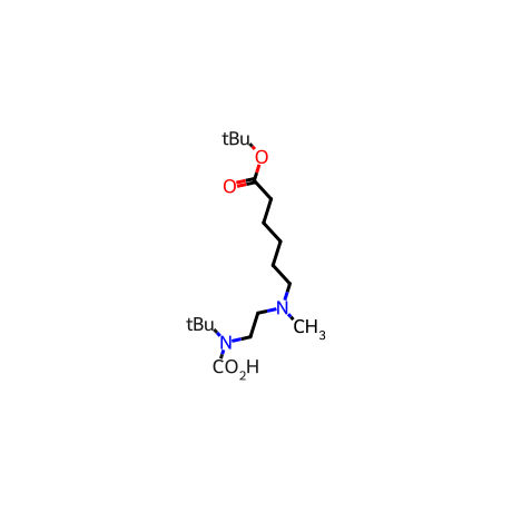 CN(CCCCCC(=O)OC(C)(C)C)CCN(C(=O)O)C(C)(C)C